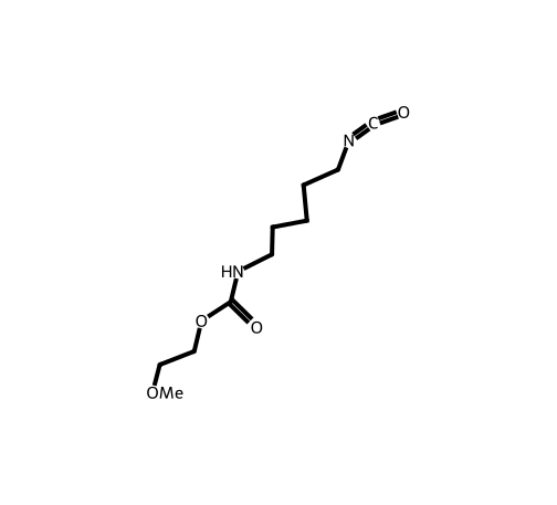 COCCOC(=O)NCCCCCN=C=O